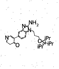 CC(C)[Si](OCCCn1c(N)nc2cc(C3=CN=CCC3=O)ccc21)(C(C)C)C(C)C